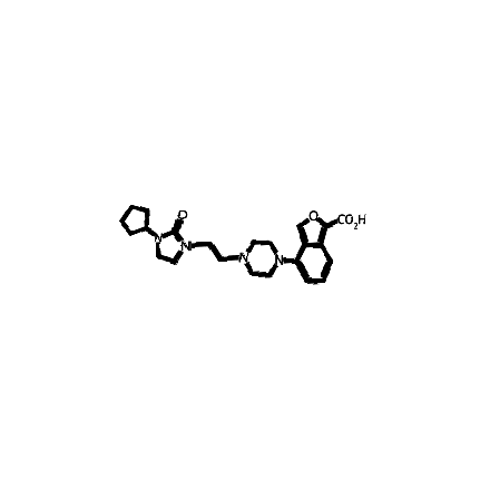 O=C(O)c1occ2c(N3CCN(CCN4CCN(C5CCCC5)C4=O)CC3)cccc12